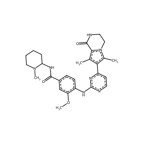 COc1cc(C(=O)NC2CCCCN2C)ccc1Nc1nccc(-c2c(C)c3n(c2C)CCNC3=O)n1